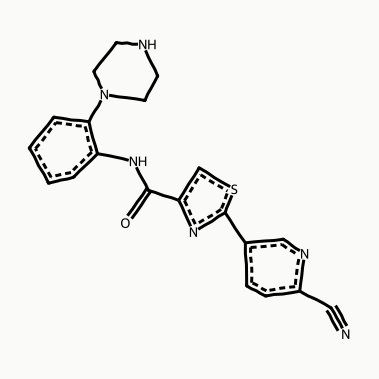 N#Cc1ccc(-c2nc(C(=O)Nc3ccccc3N3CCNCC3)cs2)cn1